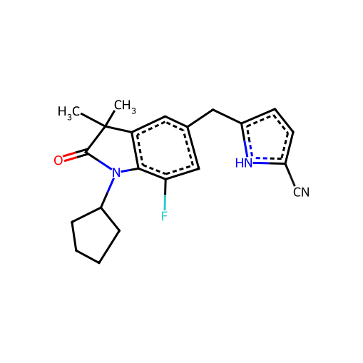 CC1(C)C(=O)N(C2CCCC2)c2c(F)cc(Cc3ccc(C#N)[nH]3)cc21